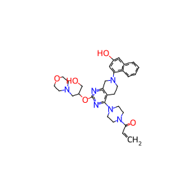 C=CC(=O)N1CCN(c2nc(OC(CO)CN3CCOCC3)nc3c2CCN(c2cc(O)cc4ccccc24)C3)CC1